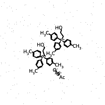 CC(=O)[O-].CC(=O)[O-].Cc1ccc([P+](CCCO)(c2ccc(C)cc2)c2ccc(C)cc2)cc1.Cc1ccc([P+](CCCO)(c2ccc(C)cc2)c2ccc(C)cc2)cc1